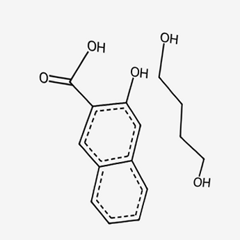 O=C(O)c1cc2ccccc2cc1O.OCCCCO